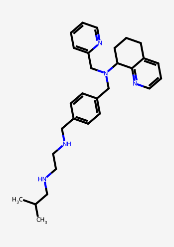 CC(C)CNCCNCc1ccc(CN(Cc2ccccn2)C2CCCc3cccnc32)cc1